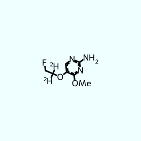 [2H]C([2H])(CF)Oc1cnc(N)nc1OC